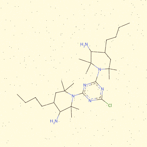 CCCCC1CC(C)(C)N(c2nc(Cl)nc(N3C(C)(C)CC(CCCC)C(N)C3(C)C)n2)C(C)(C)C1N